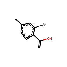 C=C(O)c1ccc(C)cc1C(C)=O